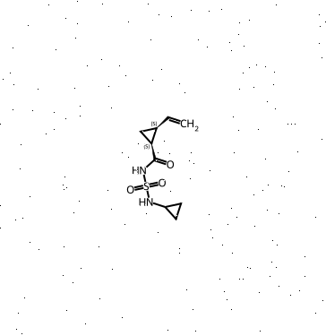 C=C[C@@H]1C[C@@H]1C(=O)NS(=O)(=O)NC1CC1